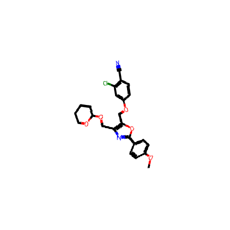 COc1ccc(-c2nc(COC3CCCCO3)c(COc3ccc(C#N)c(Cl)c3)o2)cc1